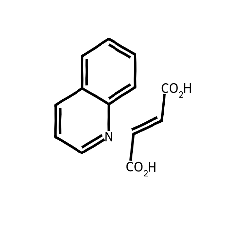 O=C(O)/C=C/C(=O)O.c1ccc2ncccc2c1